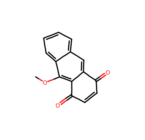 COc1c2c(cc3ccccc13)C(=O)C=CC2=O